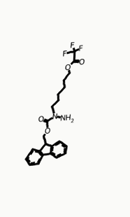 NN(CCCCCCOC(=O)C(F)(F)F)C(=O)OCC1c2ccccc2-c2ccccc21